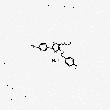 O=C([O-])c1sc(-c2ccc(Cl)cc2)nc1OCc1ccc(Cl)cc1.[Na+]